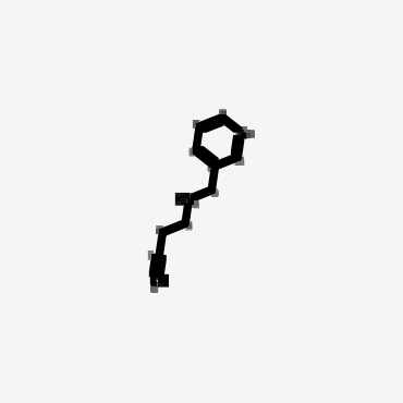 C#CCCNCc1cccnc1